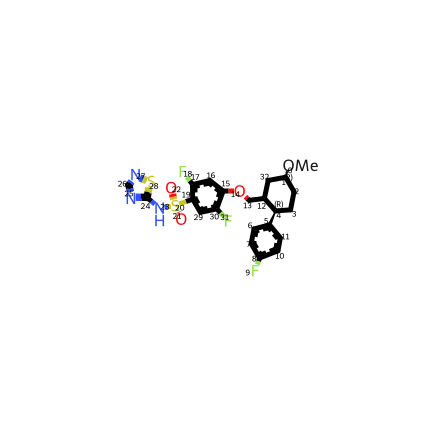 CO[C@@H]1CC[C@@H](c2ccc(F)cc2)C(COc2cc(F)c(S(=O)(=O)Nc3ncns3)cc2F)C1